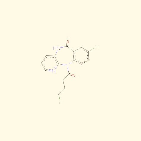 O=C1Nc2cccnc2N(C(=O)CCCCl)c2ccc(Br)cc21